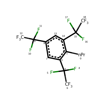 [CH2]CCc1c(C(F)(F)C(F)(F)F)cc(C(F)(F)C(F)(F)F)cc1C(F)(F)C(F)(F)F